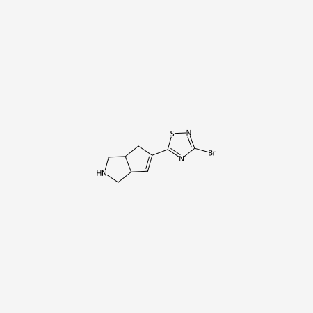 Brc1nsc(C2=CC3CNCC3C2)n1